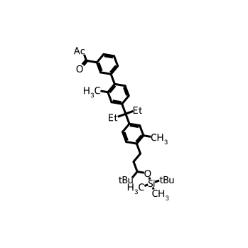 CCC(CC)(c1ccc(CCC(O[Si](C)(C)C(C)(C)C)C(C)(C)C)c(C)c1)c1ccc(-c2cccc(C(=O)C(C)=O)c2)c(C)c1